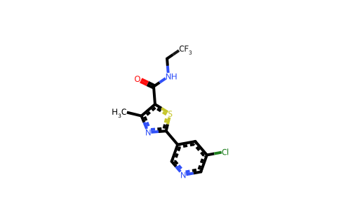 Cc1nc(-c2cncc(Cl)c2)sc1C(=O)NCC(F)(F)F